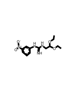 CCOC(CNC(=N)Nc1cccc([N+](=O)[O-])c1)OCC